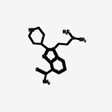 CN(C)CCn1c(C2CCNCC2)nc2c(C(N)=O)cccc21